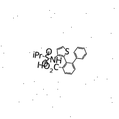 CC(C)S(=O)(=O)Nc1ccsc1-c1c(C(=O)O)cccc1-c1ccccc1